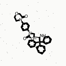 NC([C@@H]1CN(c2ccc(N3CCOCC3=O)cc2)C(=O)O1)C(c1ccccc1)(c1ccccc1)c1ccccc1